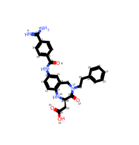 N=C(N)c1ccc(C(=O)Nc2ccc3c(c2)CN(CCc2ccccc2)C(=O)[C@@H](CC(=O)O)N3)cc1